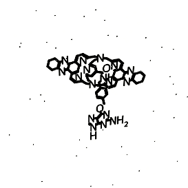 Nc1nc(OCc2ccc(CNC(=O)c3cc4nc(c3)CN3Cc5ccc6c(n5)c5nc(ccc5c5nc7c(nc65)CCCC7)CN(C4)Cc4ccc5c(n4)c4nc(ccc4c4nc6c(nc54)CCCC6)C3)cc2)c2nc[nH]c2n1